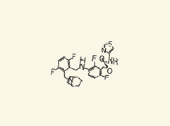 O=S(=O)(Nc1cscn1)c1c(F)ccc(NCc2c(F)ccc(F)c2CN2C3CCC2CC3)c1F